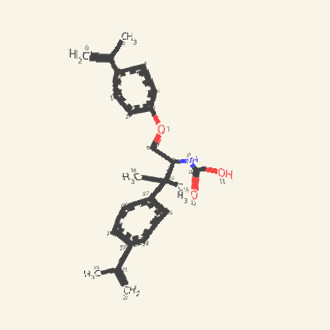 C=C(C)c1ccc(OCC(NC(=O)O)C(C)(C)c2ccc(C(=C)C)cc2)cc1